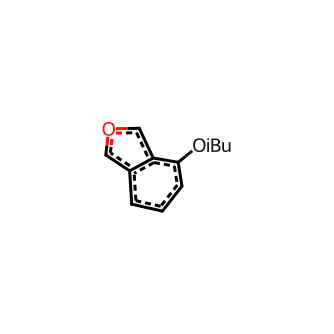 CC(C)COc1cccc2cocc12